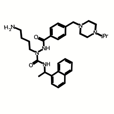 CC(NC(=O)N(CCCCN)NC(=O)c1ccc(CN2CCN(C(C)C)CC2)cc1)c1cccc2ccccc12